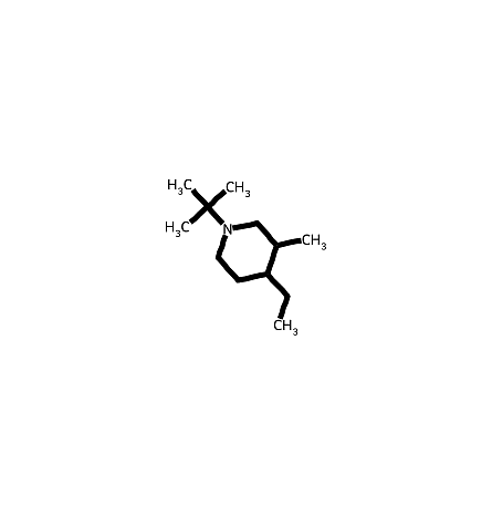 CCC1CCN(C(C)(C)C)CC1C